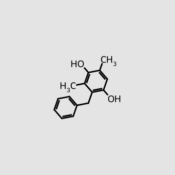 Cc1cc(O)c(Cc2ccccc2)c(C)c1O